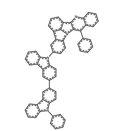 c1ccc(-c2c3ccccc3nc3c4cccc5c6cc(-n7c8ccccc8c8cc(-c9ccc%10c(c9)c9ccccc9n%10-c9ccccc9)ccc87)ccc6n(c23)c54)cc1